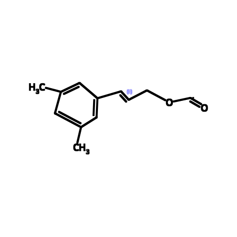 Cc1cc(C)cc(/C=C/CO[C]=O)c1